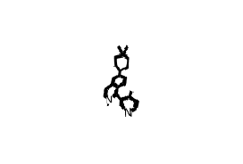 Cc1ccncc1-c1c2ccc(C3CCC(C)(C)CC3)cc2cc[n+]1C